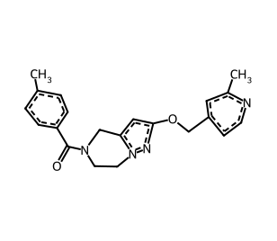 Cc1ccc(C(=O)N2CCn3nc(OCc4ccnc(C)c4)cc3C2)cc1